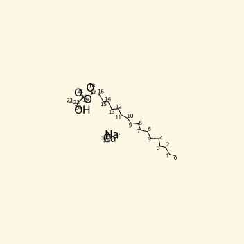 CCCCCCCCCCCCCCCCCC(=O)OC(=O)C(C)O.[Ca].[Na]